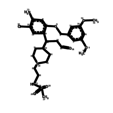 COc1cc(COc2cc(N)c(Cl)cc2C(CC=O)C2CCN(CCNS(C)(=O)=O)CC2)cc(OC)c1